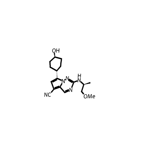 COC[C@H](C)Nc1ncc2c(C#N)cc([C@H]3CC[C@H](O)CC3)n2n1